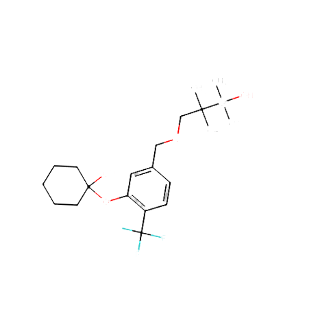 CC(C)(COCc1ccc(C(F)(F)F)c(OC2(O)CCCCC2)c1)[Si](C)(C)O